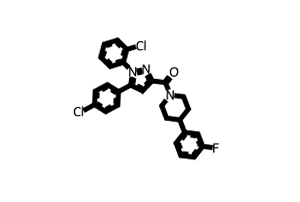 O=C(c1[c]c(-c2ccc(Cl)cc2)n(-c2ccccc2Cl)n1)N1CCC(c2cccc(F)c2)CC1